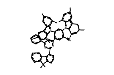 CC1=CC(C)Cc2c1n(-c1cc(-n3c4c(C)cc(C)cc4c4cc(C)cc(C)c43)c(-c3nc(-c4ccccc4)nc(-c4cccc5c4-c4ccccc4C5(C)C)n3)cc1C#N)c1c(C)cc(C)cc21